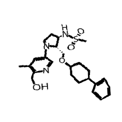 Cc1cc(N2CC[C@H](NS(C)(=O)=O)[C@@H]2COC2CCC(c3ccccc3)CC2)cnc1CO